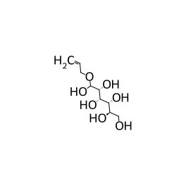 C=CCOC(O)[C@H](O)[C@@H](O)[C@H](O)[C@H](O)CO